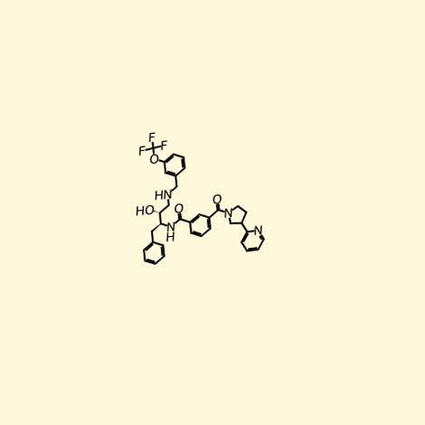 O=C(N[C@@H](Cc1ccccc1)[C@H](O)CNCc1cccc(OC(F)(F)F)c1)c1cccc(C(=O)N2CCC(c3ccccn3)C2)c1